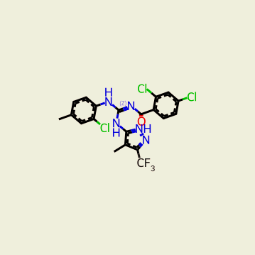 Cc1ccc(N/C(=N/C(=O)c2ccc(Cl)cc2Cl)Nc2[nH]nc(C(F)(F)F)c2C)c(Cl)c1